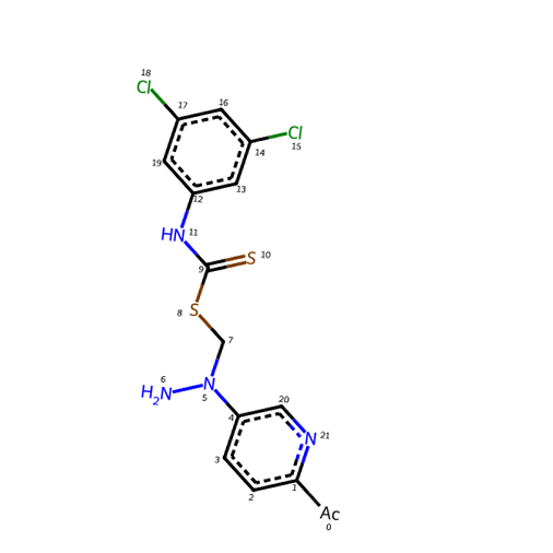 CC(=O)c1ccc(N(N)CSC(=S)Nc2cc(Cl)cc(Cl)c2)cn1